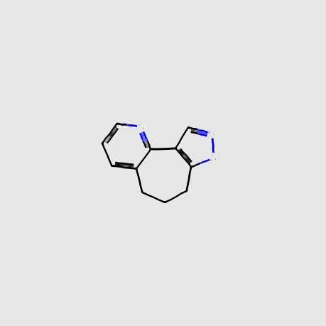 c1cnc2c(c1)CCCc1[nH]ncc1-2